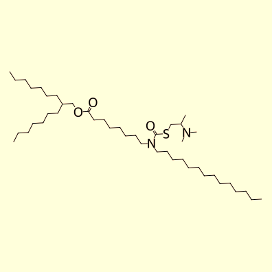 CCCCCCCCCCCCCCN(CCCCCCCC(=O)OCC(CCCCCCC)CCCCCCC)C(=O)SCC(C)N(C)C